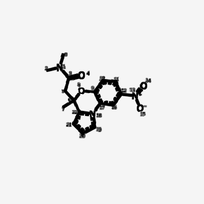 CN(C)C(=O)CC1(C)Oc2ccc([N+](=O)[O-])cc2-n2cccc21